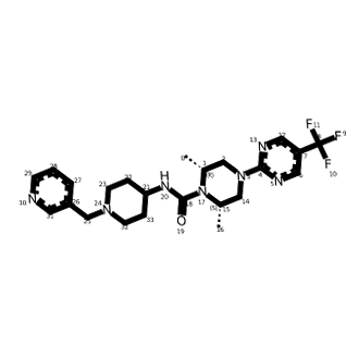 C[C@@H]1CN(c2ncc(C(F)(F)F)cn2)C[C@H](C)N1C(=O)NC1CCN(Cc2cccnc2)CC1